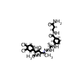 C/C(=N\NC(=S)Nc1cccc(C(=O)NCCC(N)=O)c1)c1nn(C)c(-c2ccc(Cl)c(Cl)c2)c1O